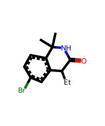 CCC1C(=O)NC(C)(C)c2ccc(Br)cc21